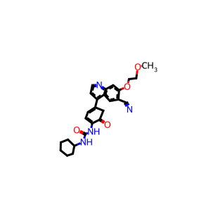 COCCOc1cc2nccc(C3=CC=C(NC(=O)NC4CCCCC4)C(=O)C3)c2cc1C#N